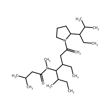 C=C(CC(CC)C(C(C)CC)N(C)C(=O)CC(C)C)N1CCCC1C(CC)C(C)C